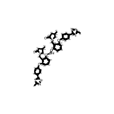 Cc1nnc(-c2ccc(Oc3cccc(OBOc4cccc(Oc5ccc(-c6nnc(C)s6)cc5)c4CN4CC(C)CC4=O)c3CN3CC(C)CC3=O)cc2)s1